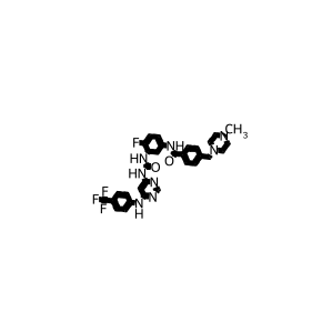 CN1CCN(Cc2ccc(C(=O)NC3=CC=C(F)C(NC(=O)Nc4cc(Nc5ccc(C(F)(F)F)cc5)ncn4)C3)cc2)CC1